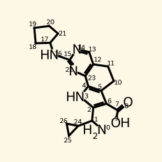 NC(c1[nH]c2c(c1C(=O)O)CCc1cnc(NC3CCCC3)nc1-2)C1CC1